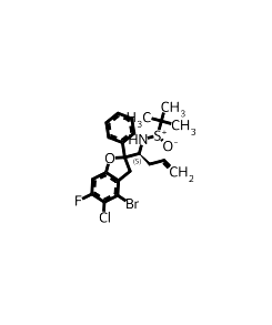 C=CC[C@H](N[S+]([O-])C(C)(C)C)C1(c2ccccc2)Cc2c(cc(F)c(Cl)c2Br)O1